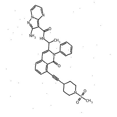 CC(NC(=O)c1c(N)nn2cccnc12)c1cc2cccc(C#CC3CCN(S(C)(=O)=O)CC3)c2c(=O)n1-c1ccccc1